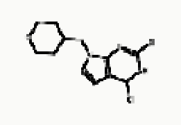 ClC1=Nc2c(ccn2CC2CCOCC2)C(Cl)N1